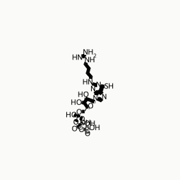 N=C(N)NCCCCNc1nc(S)c2ncn([C@@H]3O[C@H](COP(=O)(O)OP(=O)(O)OP(=O)(O)O)C(O)[C@@H]3O)c2n1